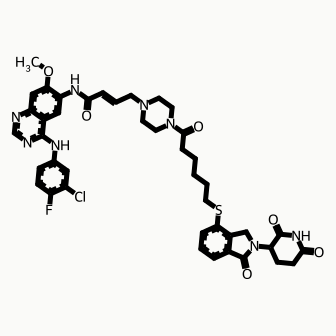 COc1cc2ncnc(Nc3ccc(F)c(Cl)c3)c2cc1NC(=O)/C=C/CN1CCN(C(=O)CCCCCSc2cccc3c2CN(C2CCC(=O)NC2=O)C3=O)CC1